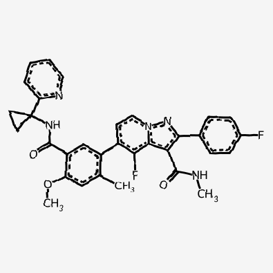 CNC(=O)c1c(-c2ccc(F)cc2)nn2ccc(-c3cc(C(=O)NC4(c5ccccn5)CC4)c(OC)cc3C)c(F)c12